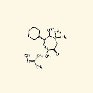 CC(=O)OC1C(N2CCCCC2)C=C(C)C(=O)CC1(C)C.CC(C)=NO